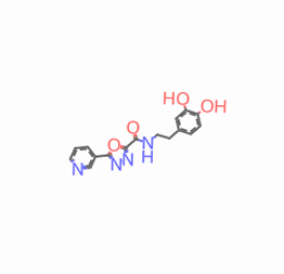 O=C(NCCc1ccc(O)c(O)c1)c1nnc(-c2cccnc2)o1